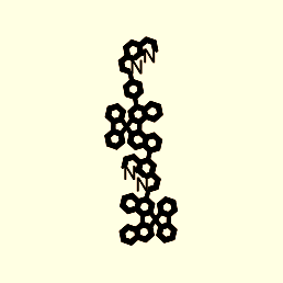 c1ccc2c(c1)-c1ccccc1C21c2ccc3ccccc3c2-c2c1cc(-c1ccc3cc(-c4cccc5c6c(ccc45)C4(c5ccccc5-c5ccccc54)c4cc(-c5ccc(-c7ccc8ccc9cccnc9c8n7)cc5)c5ccccc5c4-6)c4cccnc4c3n1)c1ccccc21